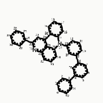 c1ccc(-c2cccc(-c3cccc(N4c5ccccc5-c5cc(-c6ccccc6)nc6cccc4c56)c3)c2)cc1